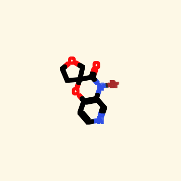 O=C1N(Br)c2cnccc2OC12CCOC2